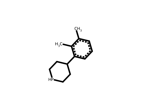 Cc1cccc(C2CCPCC2)c1C